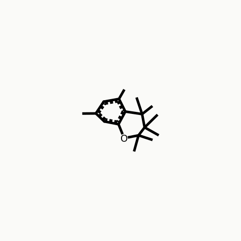 Cc1cc(C)c2c(c1)OC(C)(C)C(C)(C)C2(C)C